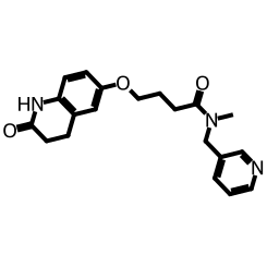 CN(Cc1cccnc1)C(=O)CCCOc1ccc2c(c1)CCC(=O)N2